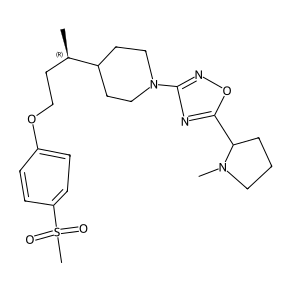 C[C@H](CCOc1ccc(S(C)(=O)=O)cc1)C1CCN(c2noc(C3CCCN3C)n2)CC1